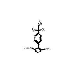 CCOC(=O)c1noc(C)c1-c1ccc(C(O)(C(F)(F)F)C(F)(F)F)cc1